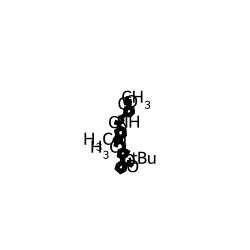 Cc1c(C)n(Cc2ccc(-c3ccccc3C(=O)OC(C)(C)C)cc2)c2ccc(C(=O)NCc3cccc(S(C)(=O)=O)c3)cc12